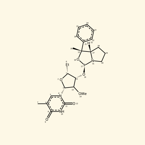 CC[C@H]1O[C@@H](n2cc(C)c(=O)[nH]c2=O)C(OC)[C@H]1O[P@@]1O[C@](C)(c2ccccc2)[C@@H]2CCCN21